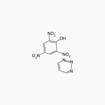 O=[N+]([O-])c1cc([N+](=O)[O-])c(O)c([N+](=O)[O-])c1.c1cnnnc1